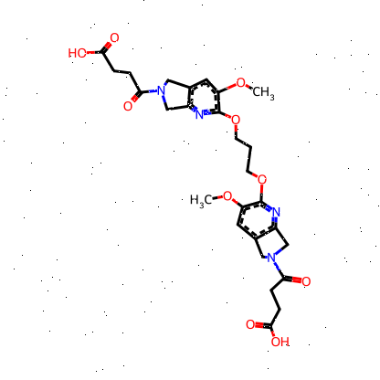 COc1cc2c(nc1OCCCOc1nc3c(cc1OC)CN(C(=O)CCC(=O)O)C3)CN(C(=O)CCC(=O)O)C2